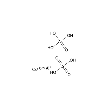 O=S(=O)(O)O.O=[As](O)(O)O.[Al+3].[Cs+].[Sr+2]